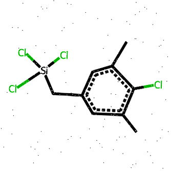 Cc1cc(C[Si](Cl)(Cl)Cl)cc(C)c1Cl